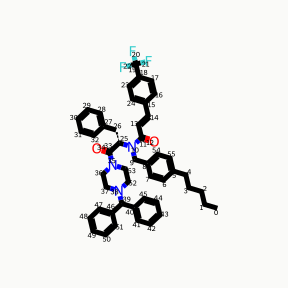 CCCCCc1ccc(CN(C(=O)/C=C/c2ccc(C(F)(F)F)cc2)[C@@H](Cc2ccccc2)C(=O)N2CCN(C(c3ccccc3)c3ccccc3)CC2)cc1